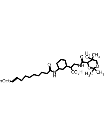 CCCCCCCCC=CCCCCCCCC(=O)NC1CCCC(C(CNC(=O)C2OC(C)(C)OCC2(C)C)C(=O)O)C1